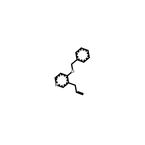 C=CCc1cnccc1OCc1ccccc1